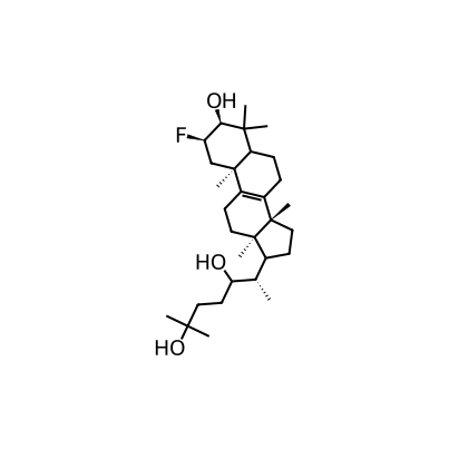 C[C@H](C(O)CCC(C)(C)O)C1CC[C@@]2(C)C3=C(CC[C@]12C)[C@@]1(C)C[C@@H](F)[C@@H](O)C(C)(C)C1CC3